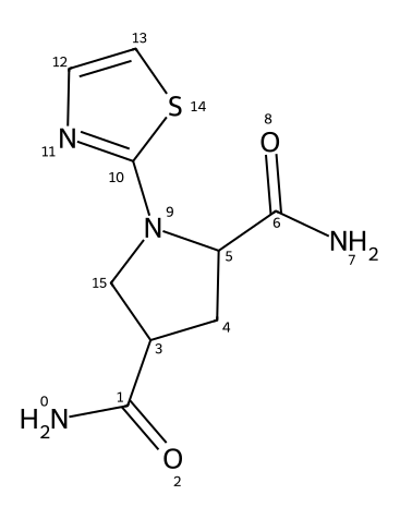 NC(=O)C1CC(C(N)=O)N(c2nccs2)C1